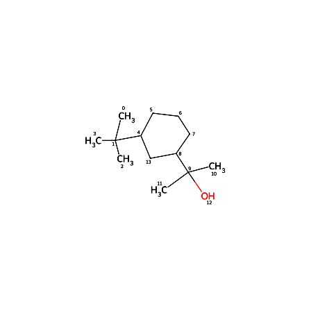 CC(C)(C)C1CCCC(C(C)(C)O)C1